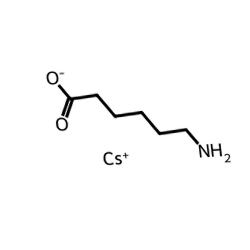 NCCCCCC(=O)[O-].[Cs+]